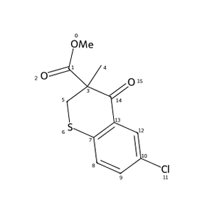 COC(=O)C1(C)CSc2ccc(Cl)cc2C1=O